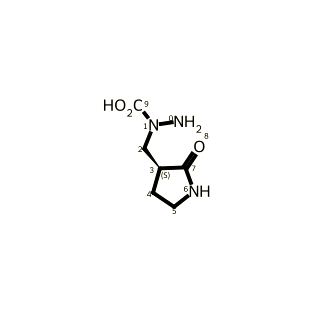 NN(C[C@@H]1CCNC1=O)C(=O)O